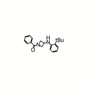 CC(C)(C)c1ccccc1NC1CN(C(=O)c2ccccc2)C1